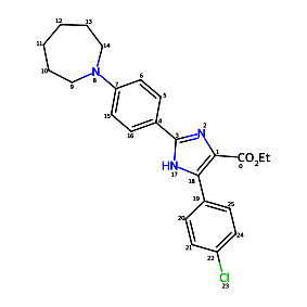 CCOC(=O)c1nc(-c2ccc(N3CCCCCC3)cc2)[nH]c1-c1ccc(Cl)cc1